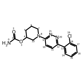 NC(=O)OC1CCCN(c2ccc(-c3ccccc3Cl)nn2)C1